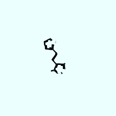 Cc1noc(C)c1C=Cc1ccc[nH]1